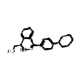 OCC1NN=C(c2ccc(C3CCCCC3)cc2)c2ccccc21